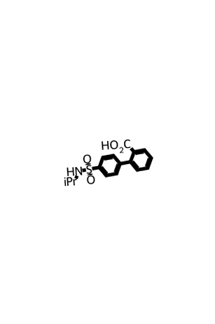 CC(C)NS(=O)(=O)c1ccc(-c2ccccc2C(=O)O)cc1